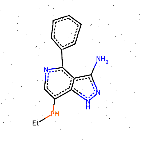 CCPc1cnc(-c2ccccc2)c2c(N)n[nH]c12